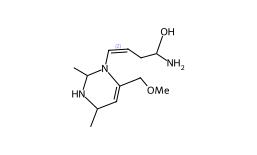 COCC1=CC(C)NC(C)N1/C=C\CC(N)O